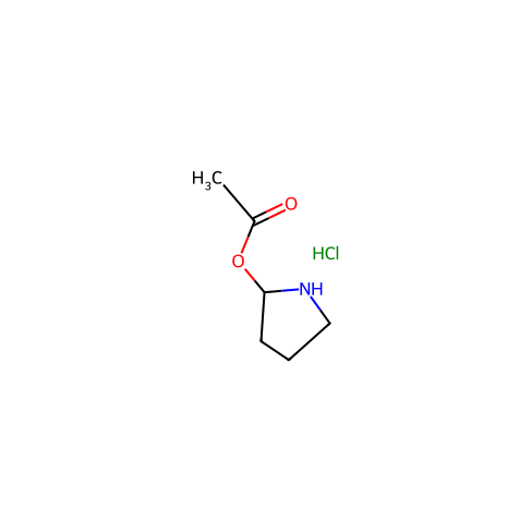 CC(=O)OC1CCCN1.Cl